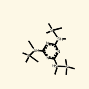 C[SiH](c1nc([SiH](C)[Si](C)(C)C)nc([SiH](C)[Si](C)(C)C)n1)[Si](C)(C)C